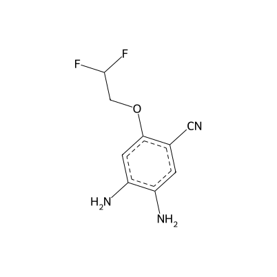 N#Cc1cc(N)c(N)cc1OCC(F)F